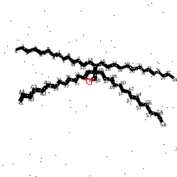 CCCCCCCCCCCCCCC(CCCCCCCCCCCCCC)C(C=O)(CCCCCCCCCCCCCC)CCCCCCCCCCCCCC